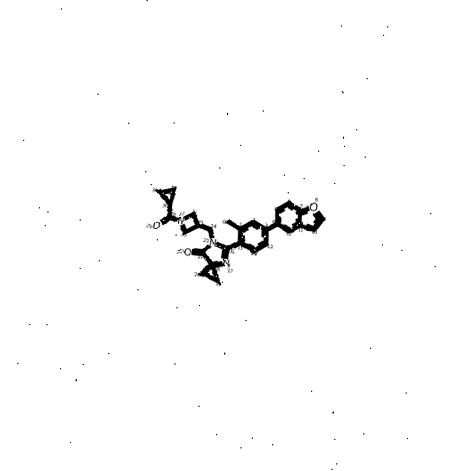 Cc1cc(-c2ccc3occc3c2)ccc1C1=NC2(CC2)C(=O)N1CC1CN(C(=O)C2CC2)C1